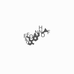 Cc1ccnc([C@@H](O)C(F)(F)F)c1-c1ccc2cc(NC(=O)C3CC3F)ncc2c1